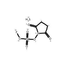 O=C1CCC(=O)N1OS(=O)(=O)OF.S